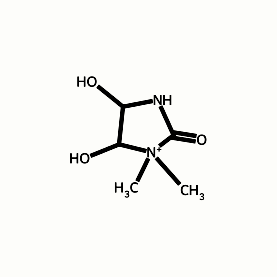 C[N+]1(C)C(=O)NC(O)C1O